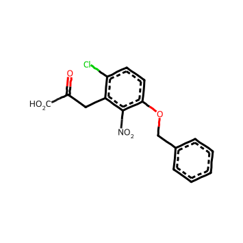 O=C(O)C(=O)Cc1c(Cl)ccc(OCc2ccccc2)c1[N+](=O)[O-]